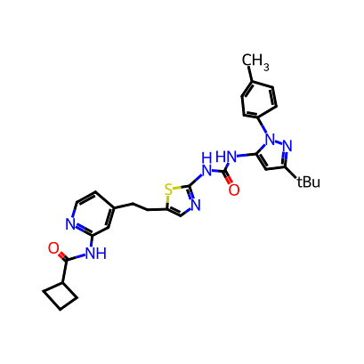 Cc1ccc(-n2nc(C(C)(C)C)cc2NC(=O)Nc2ncc(CCc3ccnc(NC(=O)C4CCC4)c3)s2)cc1